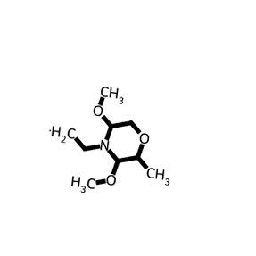 [CH2]CN1C(OC)COC(C)C1OC